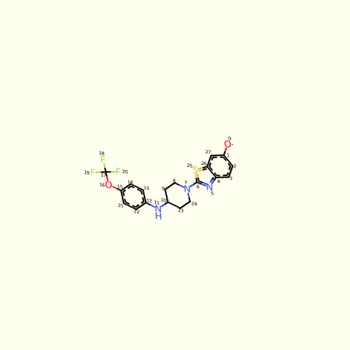 [O]c1ccc2nc(N3CCC(Nc4ccc(OC(F)(F)F)cc4)CC3)sc2c1